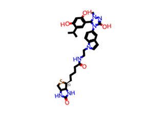 CC(C)c1cc(C2N(C)N=C(O)N2c2ccc3c(ccn3CCNC(=O)CCCC[C@@H]3SCC4NC(=O)NC43)c2)c(O)cc1O